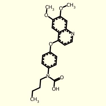 CCCCN(C(=O)O)c1ccc(Oc2ccnc3cc(OC)c(OC)cc23)cc1